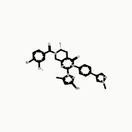 Cc1cc(C(C)C)nn1-c1nc2c(c(=O)n1-c1ccc(-c3cnn(C)c3)cc1)C[C@@H](C)N(C(=O)c1ccc(Br)c(C(F)(F)F)c1)C2